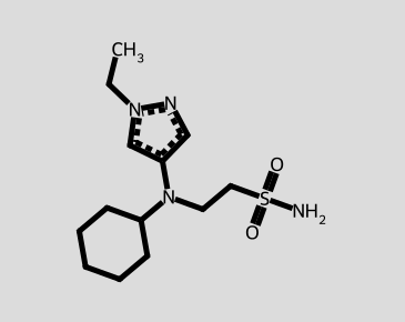 CCn1cc(N(CCS(N)(=O)=O)C2CCCCC2)cn1